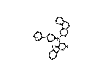 c1ccc(-c2ccc(N(c3ccc4ccc5ccccc5c4c3)c3cncc4c3oc3ccccc34)cc2)cc1